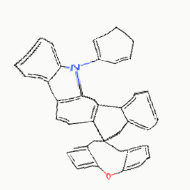 C1=CC(n2c3ccccc3c3ccc4c(c32)-c2ccccc2C42c3ccccc3Oc3ccccc32)=CCC1